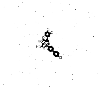 O=C(O)CN([C@]1(C(=O)O)C[C@H]1c1ccc(Cl)c(Cl)c1)S(=O)(=O)c1ccc(-c2ccc(Cl)cc2)cc1